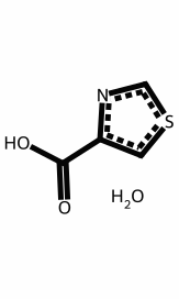 O.O=C(O)c1cscn1